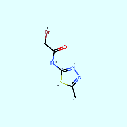 Cc1nnc(NC(=O)CBr)s1